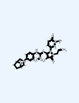 C=CCn1c(=O)c(C)c(/N=C(\N=C)Nc2ccc(N3CC4CCC(C3)N4)cc2)n1-c1ccc(=O)n(C(C)C)n1